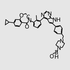 Cc1c(-c2ncnc3[nH]c(-c4ccc(CN5CCN(BC=O)CC5)cc4)cc23)cccc1N1CCOc2cc(C3CC3)ccc2C1=O